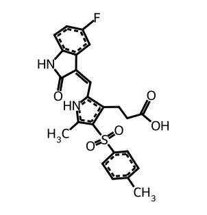 Cc1ccc(S(=O)(=O)c2c(C)[nH]c(/C=C3\C(=O)Nc4ccc(F)cc43)c2CCC(=O)O)cc1